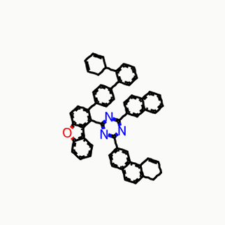 C1=CCC(c2ccccc2-c2ccc(-c3ccc4oc5ccccc5c4c3-c3nc(-c4ccc5ccccc5c4)nc(-c4ccc5ccc6c(c5c4)C=CCC6)n3)cc2)C=C1